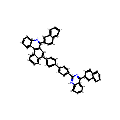 c1ccc2cc(-c3nc(-c4ccc(-c5ccc(-c6cc7c(-c8ccc9ccccc9c8)nc8ccccc8c7c7ccccc67)cc5)cc4)nc4ccccc34)ccc2c1